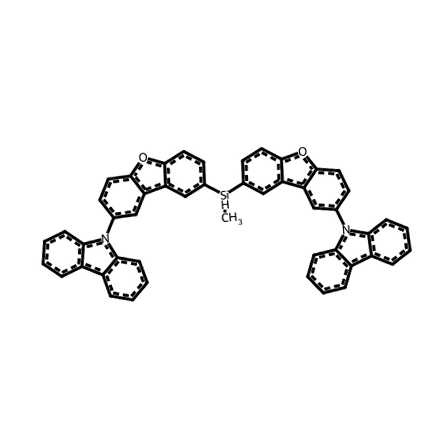 C[SiH](c1ccc2oc3ccc(-n4c5ccccc5c5ccccc54)cc3c2c1)c1ccc2oc3ccc(-n4c5ccccc5c5ccccc54)cc3c2c1